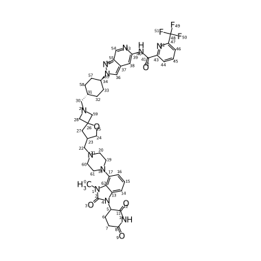 Cn1c(=O)n(C2CCC(=O)NC2=O)c2cccc(N3CCN(CC4COC5(C4)CN(C[C@H]4CC[C@H](n6cc7cc(NC(=O)c8cccc(C(F)(F)F)n8)ncc7n6)CC4)C5)CC3)c21